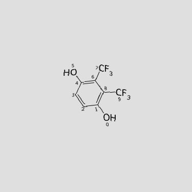 Oc1ccc(O)c(C(F)(F)F)c1C(F)(F)F